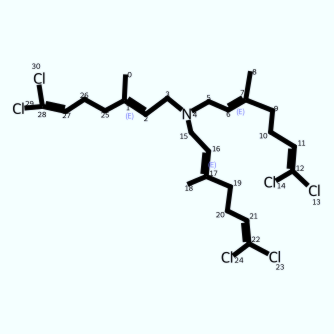 C/C(=C\CN(C/C=C(\C)CCC=C(Cl)Cl)C/C=C(\C)CCC=C(Cl)Cl)CCC=C(Cl)Cl